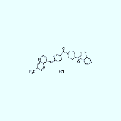 Cl.O=C(c1ccc(Nc2ccnc3cc(C(F)(F)F)ccc23)cc1)N1CCC(S(=O)(=O)c2ccccc2F)CC1